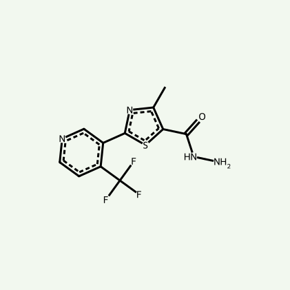 Cc1nc(-c2cnccc2C(F)(F)F)sc1C(=O)NN